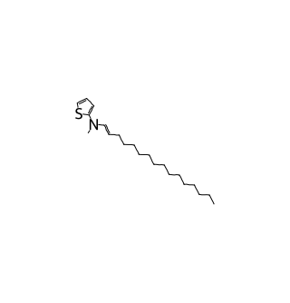 CCCCCCCCCCCCCCC=CN(C)c1cccs1